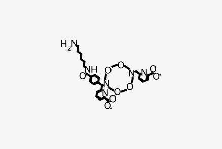 COC(=O)c1cccc(CN2CCOCCOCCN(C(c3ccc(C(=O)NCCCCCCN)cc3)c3cccc(C(=O)OC)n3)CCOCCOCC2)n1